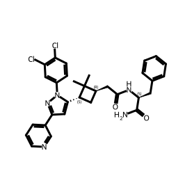 CC1(C)[C@@H](CC(=O)N[C@@H](Cc2ccccc2)C(N)=O)C[C@@H]1c1cc(-c2cccnc2)nn1-c1ccc(Cl)c(Cl)c1